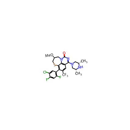 CO[C@@H]1CSc2c(-c3cc(Cl)c(F)cc3F)c(C(F)(F)F)cc3c(N4C[C@@H](C)N[C@@H](C)C4)nc(=O)n(c23)C1